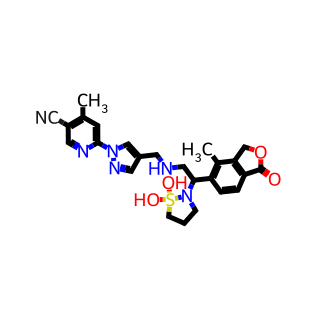 Cc1cc(-n2cc(CNCC(c3ccc4c(c3C)COC4=O)N3CCCS3(O)O)cn2)ncc1C#N